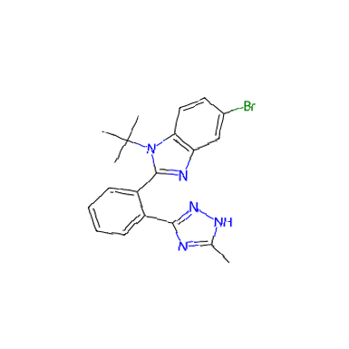 Cc1nc(-c2ccccc2-c2nc3cc(Br)ccc3n2C(C)(C)C)n[nH]1